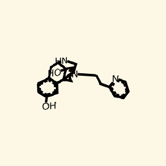 Oc1ccc2c(c1)C13CCNC(C2)C1(O)CCN(CCc1ccccn1)CC3